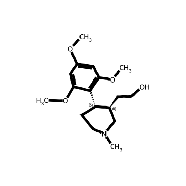 COc1cc(OC)c([C@H]2CCN(C)C[C@@H]2CCO)c(OC)c1